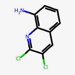 Nc1cccc2cc(Cl)c(Cl)nc12